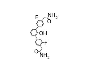 NC(=O)Cc1ccc(-c2cccc(-c3ccc(CC(N)=O)c(F)c3)c2O)cc1F